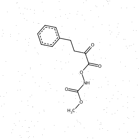 COC(=O)NOC(=O)C(=O)CCc1ccccc1